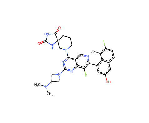 CCc1c(F)ccc2cc(O)cc(-c3ncc4c(N5CCCC6(C5)NC(=O)NC6=O)nc(N5CC(N(C)C)C5)nc4c3F)c12